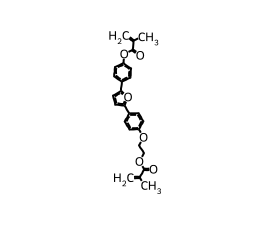 C=C(C)C(=O)OCCOc1ccc(-c2ccc(-c3ccc(OC(=O)C(=C)C)cc3)o2)cc1